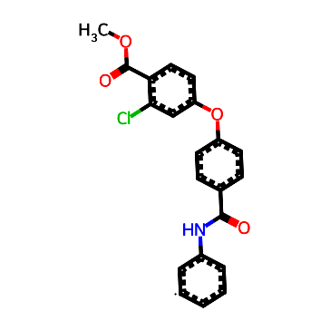 COC(=O)c1ccc(Oc2ccc(C(=O)Nc3c[c]ccc3)cc2)cc1Cl